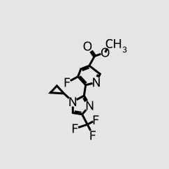 COC(=O)c1cnc(-c2nc(C(F)(F)F)cn2C2CC2)c(F)c1